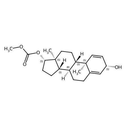 COC(=O)O[C@H]1CC[C@H]2[C@@H]3CCC4=C[C@@H](O)C=C[C@]4(C)[C@H]3CC[C@]12C